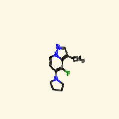 Cc1cnn2ccc(N3CCCC3)c(F)c12